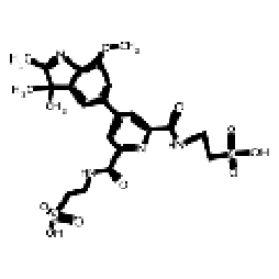 COc1cc(-c2cc(C(=O)NCCS(=O)(=O)O)nc(C(=O)NCCS(=O)(=O)O)c2)cc2c1N=C(C)C2(C)C